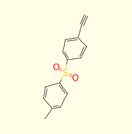 C#Cc1ccc(S(=O)(=O)c2ccc(C)cc2)cc1